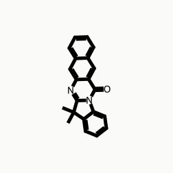 CC1(C)c2ccccc2-n2c1nc1cc3ccccc3cc1c2=O